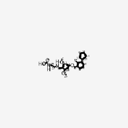 COc1cc(OCc2cccc(-c3ccccc3)c2C)cc(OC)c1CNCCNC(=O)O